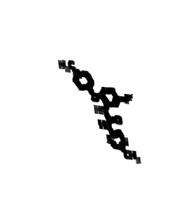 Cc1cnc(NC(=O)Nc2cc(F)ccc2OC2CCN(C)CC2)cn1